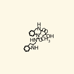 CC(C(=O)O)[C@H]1C(=O)NCc2ccccc2N1C(=O)NCC1Cc2ccccc2N1